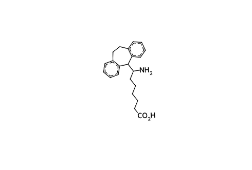 NC(CCCCCC(=O)O)C1c2ccccc2CCc2ccccc21